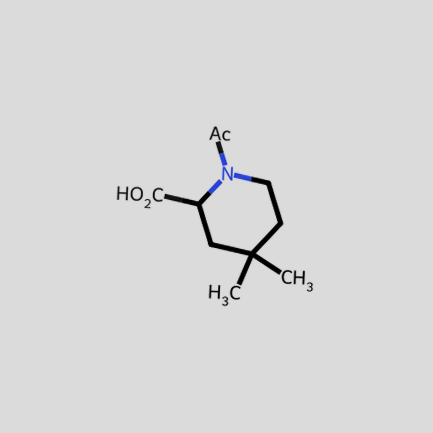 CC(=O)N1CCC(C)(C)CC1C(=O)O